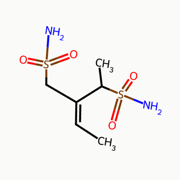 CC=C(CS(N)(=O)=O)C(C)S(N)(=O)=O